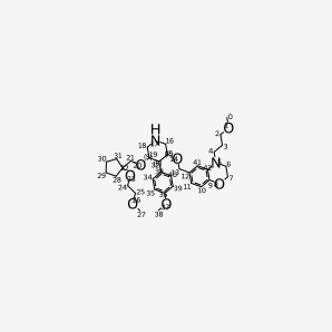 COCCCN1CCOc2ccc(CO[C@H]3CNC[C@@H](OCC4(OCCOC)CCCC4)[C@@H]3c3ccc(OC)cc3)cc21